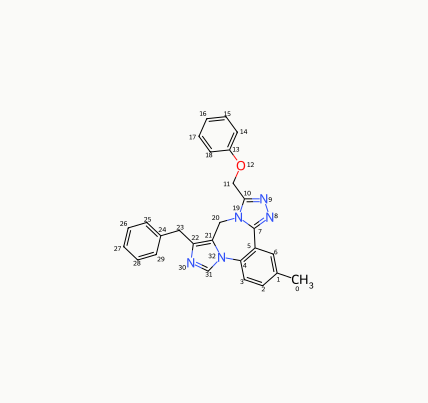 Cc1ccc2c(c1)-c1nnc(COc3ccccc3)n1Cc1c(Cc3ccccc3)ncn1-2